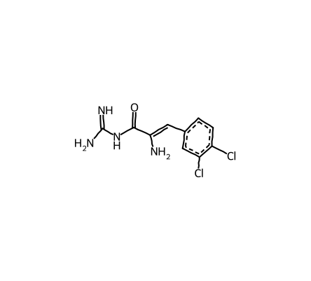 N=C(N)NC(=O)/C(N)=C/c1ccc(Cl)c(Cl)c1